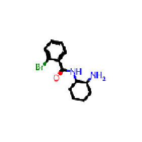 NC1CCCCC1NC(=O)c1ccccc1Br